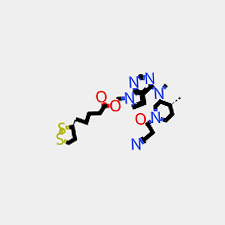 C[C@@H]1CCN(C(=O)CC#N)C[C@@H]1N(C)c1ncnc2c1ccn2COC(=O)CCCC[C@@H]1CCSS1